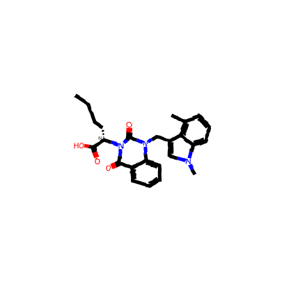 CCCC[C@@H](C(=O)O)n1c(=O)c2ccccc2n(Cc2cn(C)c3cccc(C)c23)c1=O